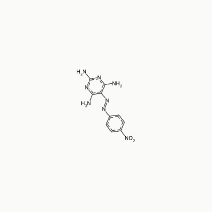 Nc1nc(N)c(N=Nc2ccc([N+](=O)[O-])cc2)c(N)n1